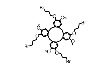 COc1cc2c(cc1OCCCBr)Cc1cc(OC)c(OCCCBr)cc1Cc1cc(OC)c(OCCCBr)cc1Cc1cc(OC)c(OCCCBr)cc1C2